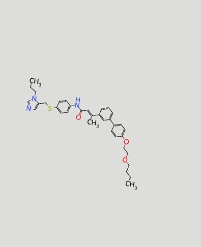 CCCCOCCOc1ccc(-c2cccc(/C(C)=C/C(=O)Nc3ccc(SCc4cncn4CCC)cc3)c2)cc1